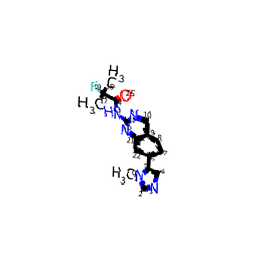 Cn1cncc1-c1ccc2cnc(NC(=O)C(C)(C)F)nc2c1